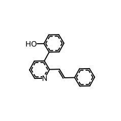 Oc1ccccc1-c1cccnc1C=Cc1ccccc1